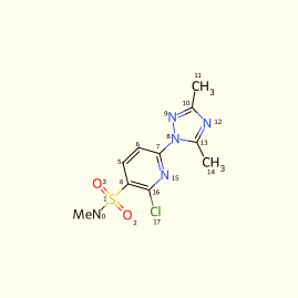 CNS(=O)(=O)c1ccc(-n2nc(C)nc2C)nc1Cl